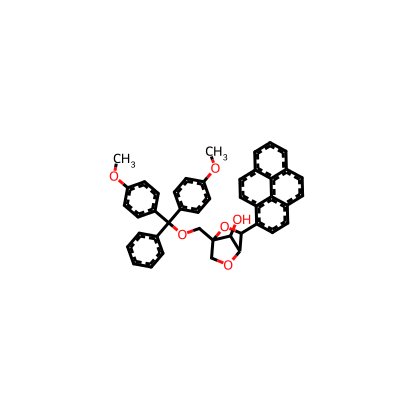 COc1ccc(C(OCC23COC(C(c4ccc5ccc6cccc7ccc4c5c67)O2)C3O)(c2ccccc2)c2ccc(OC)cc2)cc1